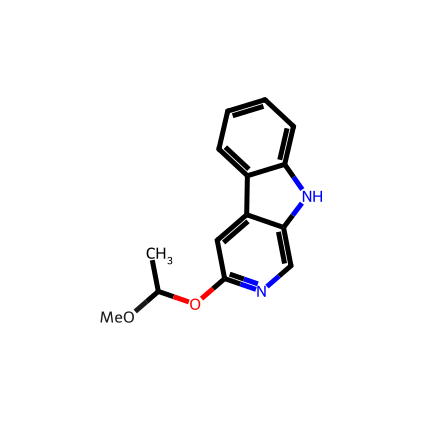 COC(C)Oc1cc2c(cn1)[nH]c1ccccc12